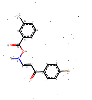 CN(/C=C/C(=O)c1ccc(Br)cc1)OC(=O)c1cccc(C(F)(F)F)c1